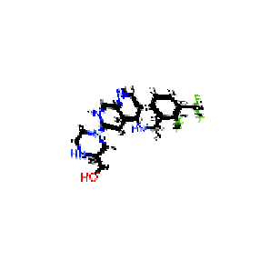 C[C@@H](Nc1ccnc2cnc(N3CCNC(CO)C3)cc12)c1cccc(C(F)F)c1F